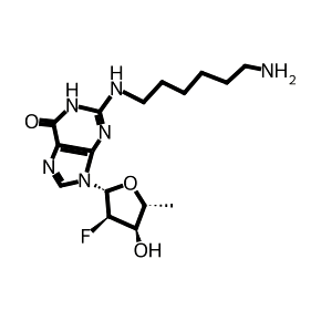 C[C@H]1O[C@@H](n2cnc3c(=O)[nH]c(NCCCCCCN)nc32)[C@H](F)[C@@H]1O